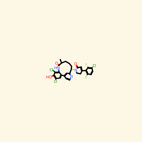 CC1CCC[C@H](N2CCC(c3c(F)ccc(Cl)c3F)=CC2=O)c2cc(ccn2)-c2cc(Cl)c(O)c(Cl)c2NC1=O